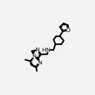 Cc1cc(C)n2cnc(CNCC3CCC(c4ccco4)CC3)c2n1